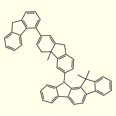 CC12CC=C(c3cccc4c3-c3ccccc3C4)C=C1Cc1ccc(-n3c4ccccc4c4ccc5c(c43)C(C)(C)c3ccccc3-5)cc12